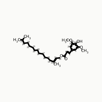 COc1cc(/C=C/C(=O)OC/C=C(\C)CCCCCCCCCCCC(C)C)cc(OC)c1O